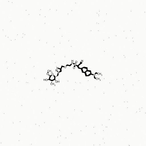 CCN(CC)c1ccc2cc(/C=C(\C#N)S(=O)(=O)NCCOCc3cn(C[C@H]4O[C@H](OC)[C@H](O)[C@@H](C)[C@@H]4O)nn3)ccc2c1